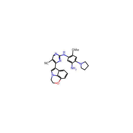 COc1cc(N2CCCC2)c(N)cc1Nc1ncc(C#N)c(-c2cn3c4c(cccc24)OCC3)n1